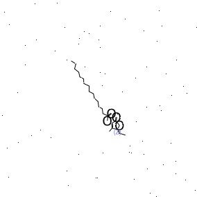 C/C=C1\OC(=O)C(OC(=O)CCCCCCCCCCCCCCC)=C1C